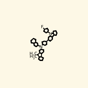 CC1(C)c2ccccc2-c2ccc(N(c3ccc(-c4ccc5c6ccccc6n(-c6ccc(F)cc6)c5c4)cc3)c3ccc4ccccc4c3)cc21